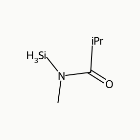 CC(C)C(=O)N(C)[SiH3]